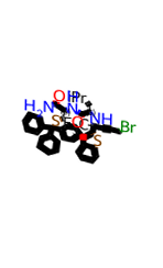 CC(C)C[C@H](N[C@@](C#CCBr)(c1cc2ccccc2s1)C(F)(F)F)C(=O)N[C@H](CSC(c1ccccc1)(c1ccccc1)c1ccccc1)C(N)=O